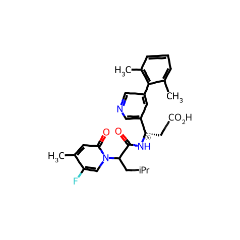 Cc1cc(=O)n(C(CC(C)C)C(=O)N[C@@H](CC(=O)O)c2cncc(-c3c(C)cccc3C)c2)cc1F